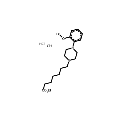 CCOC(=O)CCCCCCN1CCN(c2ccccc2OC(C)C)CC1.Cl.Cl